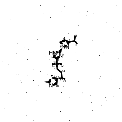 CC(C)c1ccn(-c2nc(C(C)(C)CCC(C)c3cncs3)c[nH]2)n1